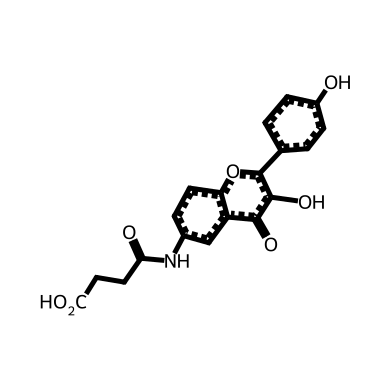 O=C(O)CCC(=O)Nc1ccc2oc(-c3ccc(O)cc3)c(O)c(=O)c2c1